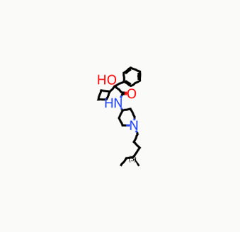 CC[C@H](C)CCCN1CCC(NC(=O)C(O)(c2ccccc2)C2CCC2)CC1